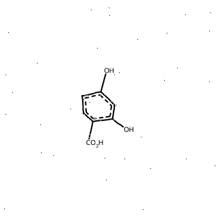 O=C(O)c1ccc(O)[c]c1O